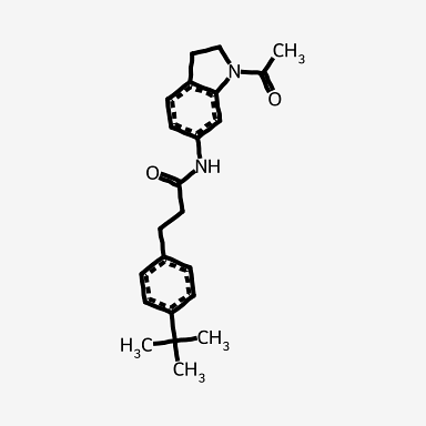 CC(=O)N1CCc2ccc(NC(=O)CCc3ccc(C(C)(C)C)cc3)cc21